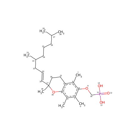 Cc1c(C)c2c(c(C)c1OCP(=O)(O)O)CCC(C)(C=CCC(C)CCCC(C)C)O2